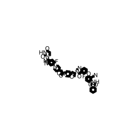 Cn1nc(N2CCC(=O)NC2=O)c2cc(F)c(N3CCC(O)(CC(=O)N4CCC5(CC4)C[C@@H](n4cnc6ccc(Oc7c(F)ccc(NS(=O)(=O)C8CCCCC8)c7C#N)cc6c4=O)CO5)CC3)cc21